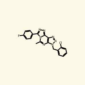 Cc1nc2c(nnn2Cc2ccccc2Cl)c2nnc(-c3ccc(F)cc3)n12